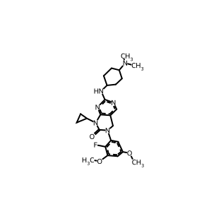 COc1cc(OC)c(F)c(N2Cc3cnc(NC4CCC(N(C)C)CC4)nc3N(C3CC3)C2=O)c1